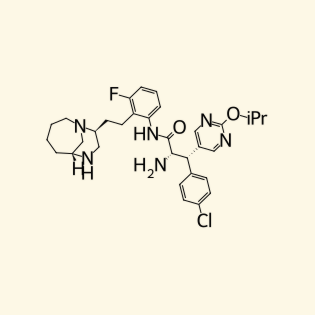 CC(C)Oc1ncc([C@H](c2ccc(Cl)cc2)[C@H](N)C(=O)Nc2cccc(F)c2CC[C@H]2CN[C@@H]3CCCCN2C3)cn1